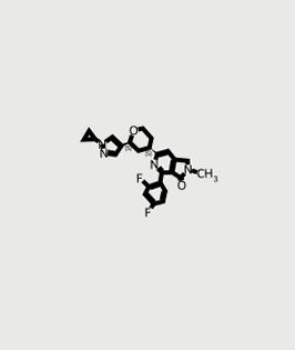 CN1Cc2cc([C@H]3CCO[C@H](c4cnn(C5CC5)c4)C3)nc(-c3ccc(F)cc3F)c2C1=O